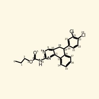 CCCOC(=O)Nc1ncc2c(n1)-c1ccccc1C(c1ccc(Cl)c(Cl)c1)C2